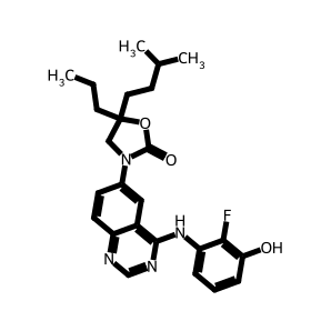 CCCC1(CCC(C)C)CN(c2ccc3ncnc(Nc4cccc(O)c4F)c3c2)C(=O)O1